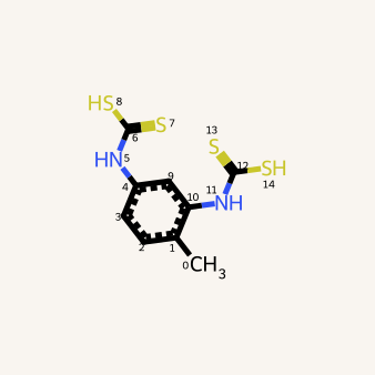 Cc1ccc(NC(=S)S)cc1NC(=S)S